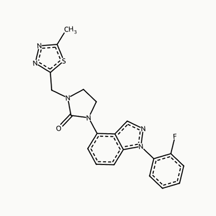 Cc1nnc(CN2CCN(c3cccc4c3cnn4-c3ccccc3F)C2=O)s1